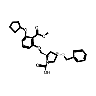 COC(=O)c1c(OC[C@H]2C[C@H](OCc3ccccc3)CN2C(=O)O)cccc1OC1CCCC1